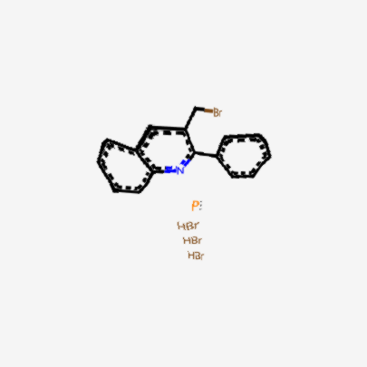 Br.Br.Br.BrCc1cc2ccccc2nc1-c1ccccc1.[P]